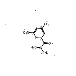 CN(C)C(=O)c1cc([N+](=O)[O-])cc(C(F)(F)F)c1